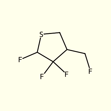 FCC1CSC(F)C1(F)F